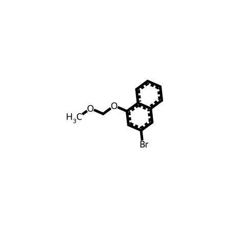 COCOc1cc(Br)cc2ccccc12